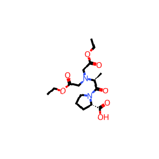 CCOC(=O)CN(CC(=O)OCC)[C@@H](C)C(=O)N1CCC[C@H]1C(=O)O